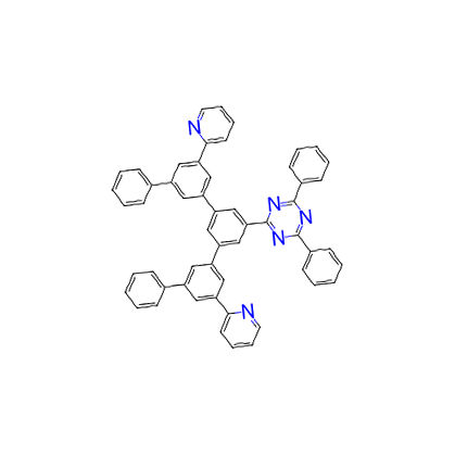 c1ccc(-c2cc(-c3cc(-c4cc(-c5ccccc5)cc(-c5ccccn5)c4)cc(-c4nc(-c5ccccc5)nc(-c5ccccc5)n4)c3)cc(-c3ccccn3)c2)cc1